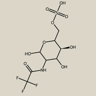 O=C(NC1C(O)OC(COS(=O)(=O)O)[C@@H](O)C1O)C(F)(F)F